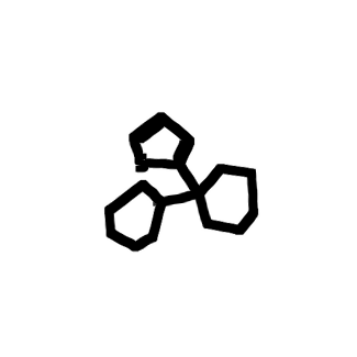 c1csc(C2([C]3CCCCC3)CCCCC2)c1